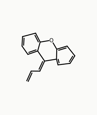 C=CC=C1c2ccccc2Oc2ccccc21